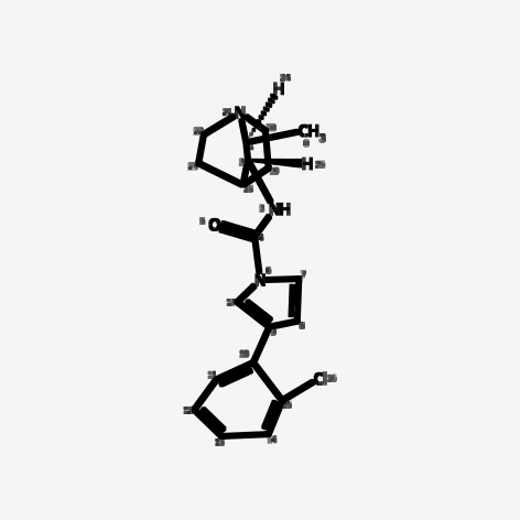 C[C@H]1[C@H](NC(=O)n2ccc(-c3ccccc3Cl)c2)C2CCN1CC2